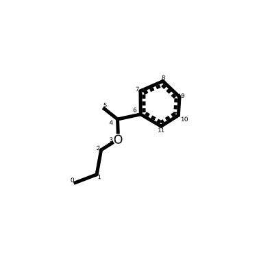 CCCOC(C)c1cc[c]cc1